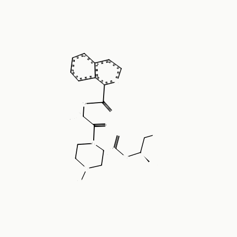 C=C(N[C@@H](C)C(=O)N1CCN(C(C)=O)C[C@H]1C(=O)N[C@H](C=O)CC(=O)O)c1nccc2ccccc12